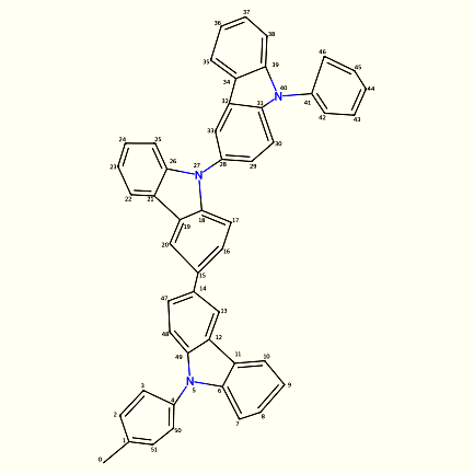 Cc1ccc(-n2c3ccccc3c3cc(-c4ccc5c(c4)c4ccccc4n5-c4ccc5c(c4)c4ccccc4n5-c4ccccc4)ccc32)cc1